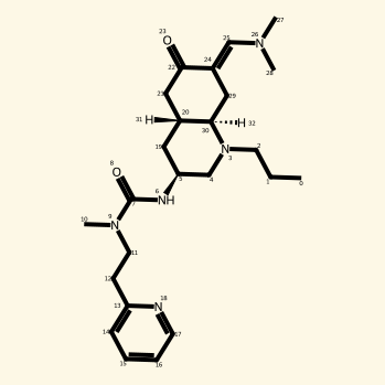 CCCN1C[C@@H](NC(=O)N(C)CCc2ccccn2)C[C@@H]2CC(=O)C(=CN(C)C)C[C@H]21